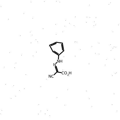 N#CC(=NNc1ccccc1)C(=O)O